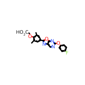 Cc1cc(-c2nc3cnc(Oc4ccc(F)cc4)nc3o2)cc(C)c1OCC(=O)O